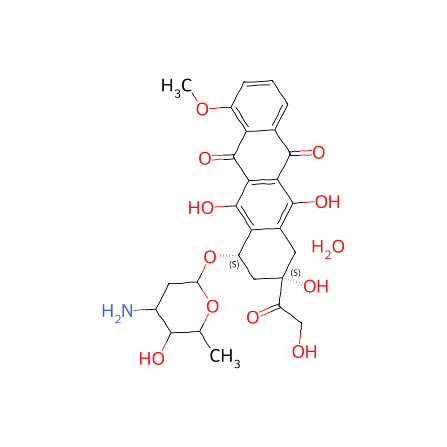 COc1cccc2c1C(=O)c1c(O)c3c(c(O)c1C2=O)C[C@@](O)(C(=O)CO)C[C@@H]3OC1CC(N)C(O)C(C)O1.O